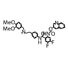 COc1ccc(CN(C)CCc2ccc(NC(=O)c3cc(F)c(F)cc3NC(=O)Oc3cnc4ccccc4c3)cc2)cc1OC